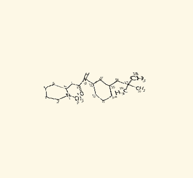 CN1CCCCC1CC(=O)NC1CCCC(CC(C)(C)C)C1